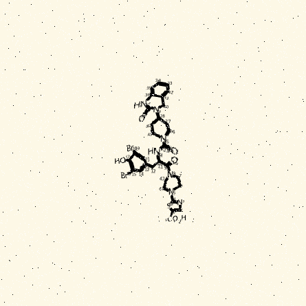 O=C(O)c1cnc(N2CCN(C(=O)[C@@H](Cc3cc(Br)c(O)c(Br)c3)NC(=O)N3CCC(N4Cc5ccccc5NC4=O)CC3)CC2)s1